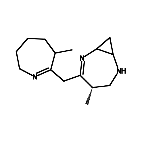 CC1CCCCN=C1CC1=NC2CC2NC[C@@H]1C